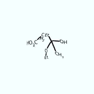 CC(=O)O.CCOC(C)(O)CC